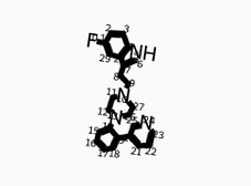 Fc1ccc2[nH]cc(CCN3CCN(c4ccccc4-c4cccnc4)CC3)c2c1